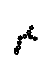 c1ccc(-c2ccc3c(c2)c2cc(-c4ccccc4)ccc2n3-c2ccc(-c3cccc(-c4ccc(-c5ccc6c(c5)oc5ccccc56)cc4)c3)cc2)cc1